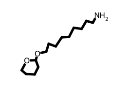 NCCCCCCCCCOC1CCCCO1